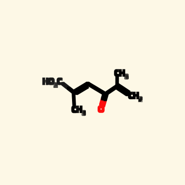 C=C(C)C(=O)C=C(C)C(=O)O